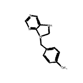 Cc1ccc(CN2CNc3cncnc32)cc1